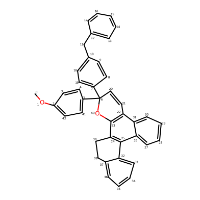 COc1ccc(C2(c3ccc(Cc4ccccc4)cc3)C=Cc3c(c4c(c5ccccc35)-c3ccccc3CC4)O2)cc1